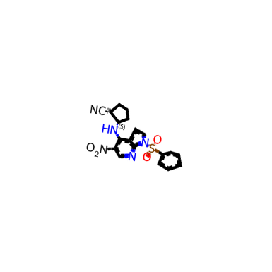 N#C[C@@H]1CCC[C@@H]1Nc1c([N+](=O)[O-])cnc2c1ccn2S(=O)(=O)c1ccccc1